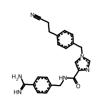 N#CCCc1ccc(Cn2cnc(C(=O)NCc3ccc(C(=N)N)cc3)c2)cc1